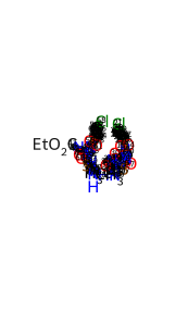 CC1Cc2nc(C(=O)N3CCN(S(=O)(=O)c4ccc5cc(Cl)ccc5c4)CC3CC(=O)N3CCOCC3)sc2CN1.CCOC(=O)CNC(=O)C1CN(S(=O)(=O)c2ccc3cc(Cl)ccc3c2)CCN1C(=O)c1nc2c(s1)CNC(C)C2